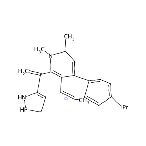 C=C(C1=CCPN1)C1=C(/C=C\C)C(c2ccc(C(C)C)cc2)=CC(C)N1C